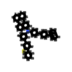 c1ccc(-c2cccc3cccc(-c4ccc(N(c5ccc(-c6ccc(C78CC9CC(CC(C9)C7)C8)cc6)cc5)c5cccc(-c6ccc7c(c6)sc6ccccc67)c5)cc4)c23)cc1